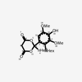 CCCCCCc1c(C2(CCCCCC)OC(=O)CC(=O)O2)cc(OC)c(O)c1OC